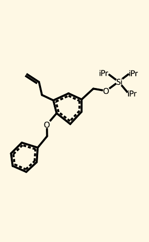 C=CCc1cc(CO[Si](C(C)C)(C(C)C)C(C)C)ccc1OCc1ccccc1